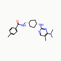 Cc1ccc(C(=O)NC[C@H]2CC[C@@H](Nc3ncc(C)c(N(C)C)n3)CC2)cc1